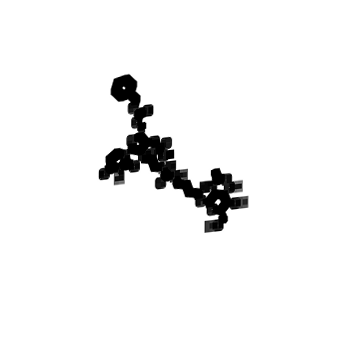 COP(=O)(O)OC1[C@@H](COC(=O)OCc2ccccc2)O[C@@H](n2ccc(=O)[nH]c2=O)[C@H]1CCCNC(=O)NCCCCO[C@@H]1O[C@H](CO)[C@H](O)[C@H](O)[C@H]1NC(C)=O